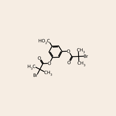 CC(C)(Br)C(=O)Oc1cc(OC(=O)C(C)(C)Br)cc(C(=O)O)c1